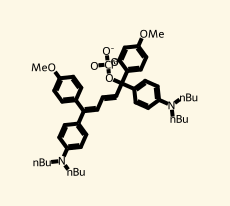 CCCCN(CCCC)c1ccc(C(=CC=CC(O[Cl+3]([O-])([O-])[O-])(c2ccc(OC)cc2)c2ccc(N(CCCC)CCCC)cc2)c2ccc(OC)cc2)cc1